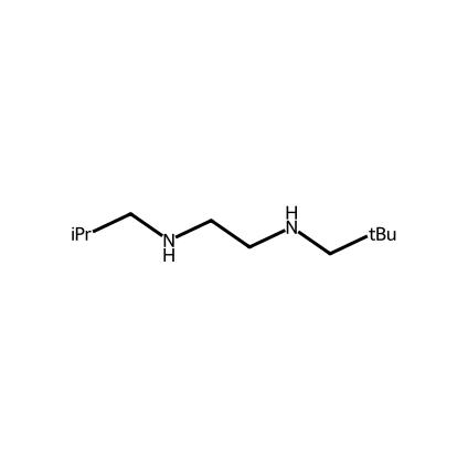 CC(C)CNCCNCC(C)(C)C